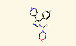 CCC(N1CCOCC1)n1cnc(-c2ccncc2)c1-c1ccc(F)cc1